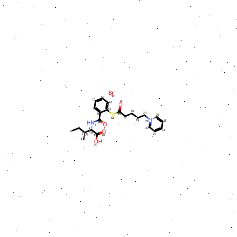 CC[C@H](C)[C@H](NC(=O)c1ccccc1SC(=O)CCCC[n+]1ccccc1)C(=O)O.[Br-]